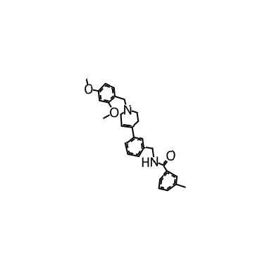 COc1ccc(CN2CC=C(c3cccc(CNC(=O)c4cccc(C)c4)c3)CC2)c(OC)c1